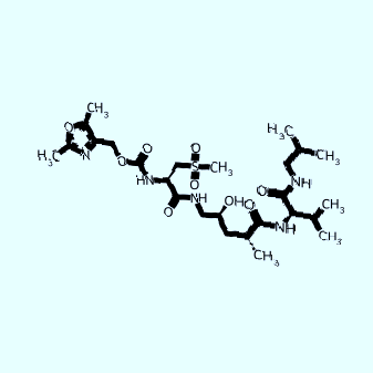 Cc1nc(COC(=O)N[C@@H](CS(C)(=O)=O)C(=O)NC[C@@H](O)C[C@@H](C)C(=O)N[C@@H](C(=O)NCC(C)C)C(C)C)c(C)o1